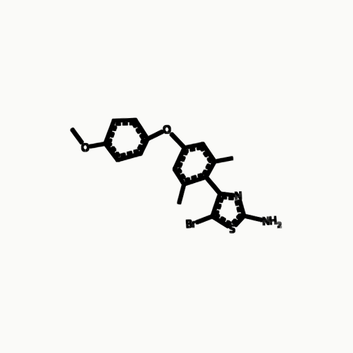 COc1ccc(Oc2cc(C)c(-c3nc(N)sc3Br)c(C)c2)cc1